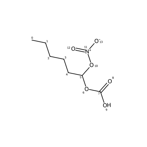 CCCCCC(OC(=O)O)O[N+](=O)[O-]